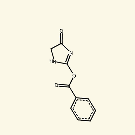 O=C1CNC(OC(=O)c2ccccc2)=N1